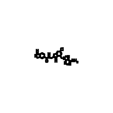 Nc1ncnc2c1ncn2Cc1cc(Cl)cc2cc(CNC(=O)c3ccc4[nH]ncc4c3)[nH]c12